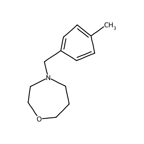 Cc1ccc(CN2CCCOCC2)cc1